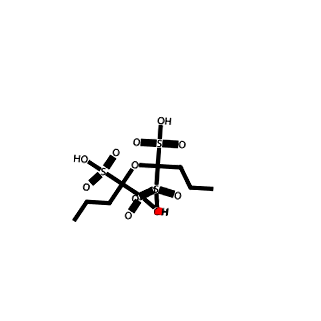 CCCC(OC(CCC)(S(=O)(=O)O)S(=O)(=O)O)(S(=O)(=O)O)S(=O)(=O)O